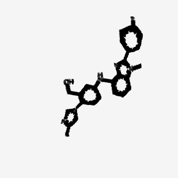 Cc1cn(-c2ccc(Nc3cccc4c3nc(-c3ccc(F)cc3)n4C)cc2CO)cn1